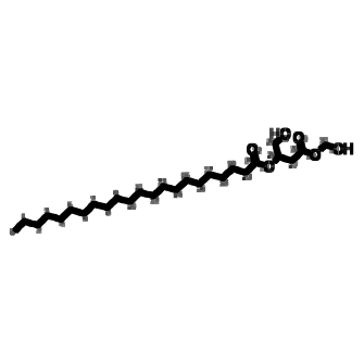 CCCCCCCCCCCCCCCCCCCCCC(=O)OC(CO)CC(=O)OCO